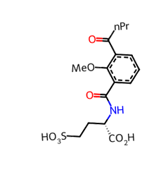 CCCC(=O)c1cccc(C(=O)N[C@@H](CCS(=O)(=O)O)C(=O)O)c1OC